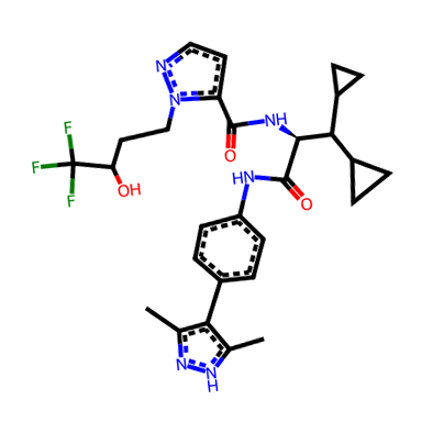 Cc1n[nH]c(C)c1-c1ccc(NC(=O)[C@@H](NC(=O)c2ccnn2CCC(O)C(F)(F)F)C(C2CC2)C2CC2)cc1